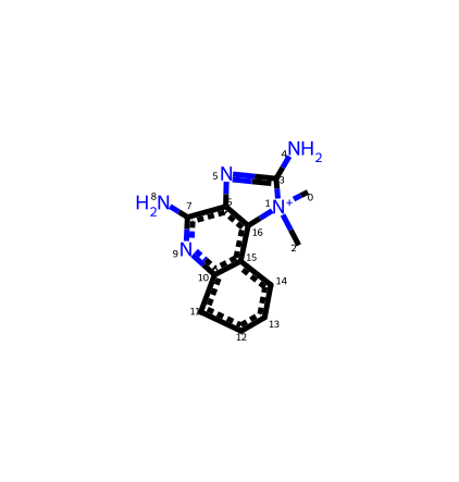 C[N+]1(C)C(N)=Nc2c(N)nc3ccccc3c21